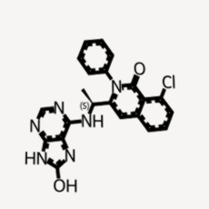 C[C@H](Nc1ncnc2[nH]c(O)nc12)c1cc2cccc(Cl)c2c(=O)n1-c1ccccc1